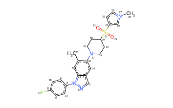 Cc1cc2c(cnn2-c2ccc(F)cc2)cc1N1CCC(S(=O)(=O)c2ccn(C)c2)CC1